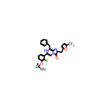 CC(C)(C)[Si](C)(C)Oc1cccc(-c2cn3c(=O)c(Cc4ccc(C(F)(F)F)o4)nc-3c(Cc3ccccc3)[nH]2)c1F